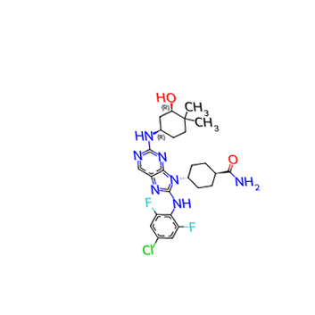 CC1(C)CC[C@@H](Nc2ncc3nc(Nc4c(F)cc(Cl)cc4F)n([C@H]4CC[C@H](C(N)=O)CC4)c3n2)C[C@H]1O